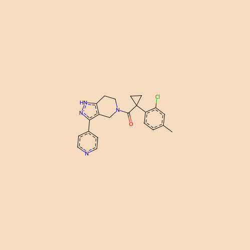 Cc1ccc(C2(C(=O)N3CCc4[nH]nc(-c5ccncc5)c4C3)CC2)c(Cl)c1